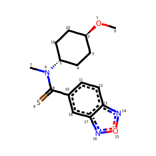 CO[C@H]1CC[C@H](N(C)C(=S)c2ccc3nonc3c2)CC1